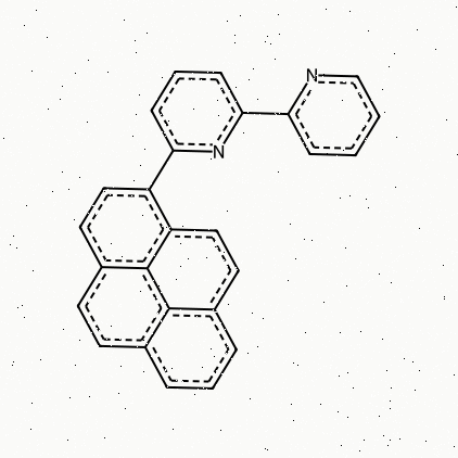 c1ccc(-c2cccc(-c3ccc4ccc5cccc6ccc3c4c56)n2)nc1